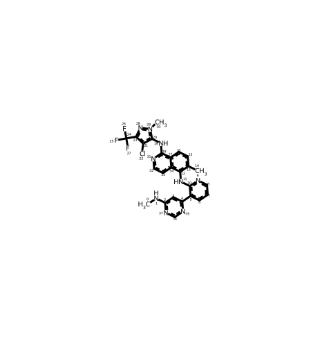 CNc1cc(-c2cccnc2Nc2c(C)ccc3c(Nc4c(Cl)c(C(F)(F)F)nn4C)nccc23)ncn1